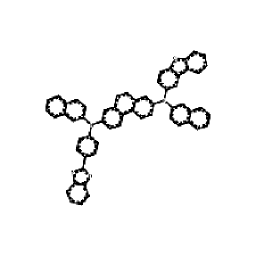 c1ccc2cc(N(c3ccc(-c4nc5ccccc5o4)cc3)c3ccc4c(ccc5cc(N(c6ccc7ccccc7c6)c6ccc7oc8ccccc8c7c6)ccc54)c3)ccc2c1